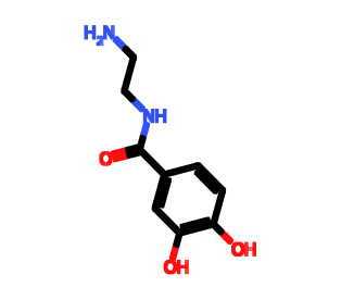 NCCNC(=O)c1ccc(O)c(O)c1